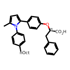 CCCCCCCCc1ccc(-n2c(C)ccc2-c2ccc(O[C@H](Cc3ccccc3)C(=O)O)cc2)cc1